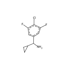 NC(c1cc(F)c(Cl)c(F)c1)C1CC1